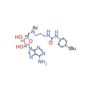 CC(=O)N(CCCNC(=O)Nc1ccc(C(C)(C)C)cc1)C[C@H]1OC(n2cnc3c(N)ncnc32)[C@H](O)[C@@H]1O